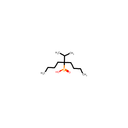 CCCCC(CCCC)(C(C)C)[PH](=O)O